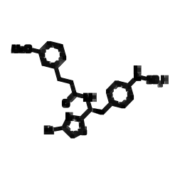 CCc1csc([C@H](Cc2ccc(NS(=O)(=O)O)cc2)NC(=O)CCc2cccc(OC)c2)n1